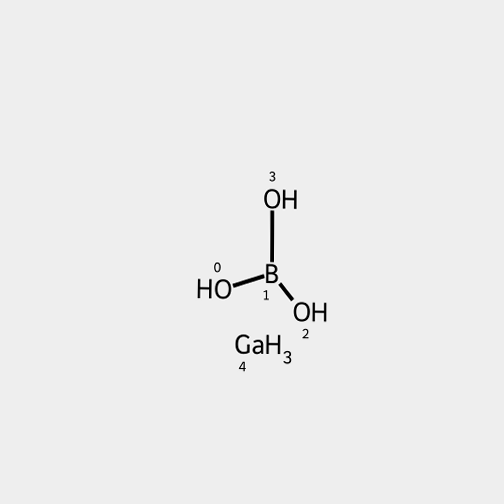 OB(O)O.[GaH3]